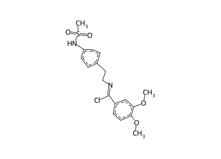 COc1ccc(C(Cl)=NCCc2ccc(NS(C)(=O)=O)cc2)cc1OC